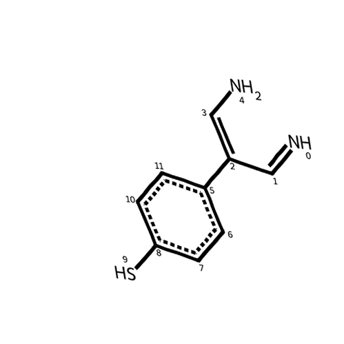 N=C/C(=C\N)c1ccc(S)cc1